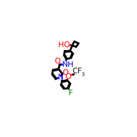 O=C(Nc1ccc(C2(O)CCC2)cc1)c1cccn(-c2ccc(F)cc2OCC(F)(F)F)c1=O